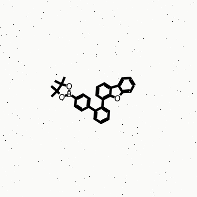 CC1(C)OB(c2ccc(-c3ccccc3-c3cccc4c3oc3ccccc34)cc2)OC1(C)C